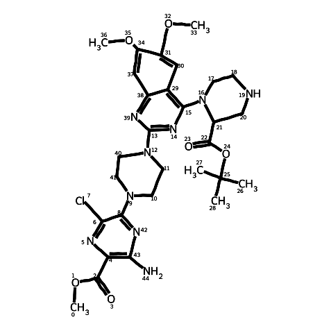 COC(=O)c1nc(Cl)c(N2CCN(c3nc(N4CCNCC4C(=O)OC(C)(C)C)c4cc(OC)c(OC)cc4n3)CC2)nc1N